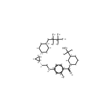 CC(C)(O)C1CCCN(C(=O)c2ccc(OCC[C@@H]3C[C@@H]3C3CCN(CC(F)(F)C(F)(F)F)CC3)cc2F)C1